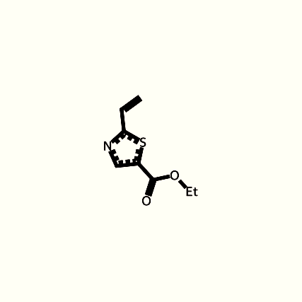 C=Cc1ncc(C(=O)OCC)s1